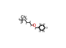 CC(C)(C#N)CCCCOCc1ccccc1